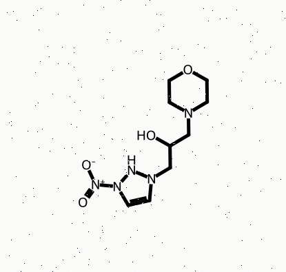 O=[N+]([O-])N1C=CN(CC(O)CN2CCOCC2)N1